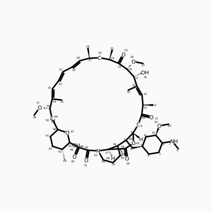 CNC1CC[C@@H](CC2[C@@H]3CC(=O)[C@H](C)/C=C(\C)[C@@H](O)[C@@H](OC)C(=O)[C@H](C)C[C@H](C)/C=C/C=C/C=C(\C)[C@@H](OC)C[C@@H]4CC[C@@H](C)[C@@](O)(O4)C(=O)C(=O)N4CCC[C@H]2[C@H]4C(=O)O3)C[C@H]1OC